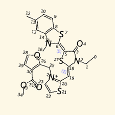 CCn1c(=O)/c(=C2\Sc3ccc(C)cc3N2C)s/c1=C\c1scc[n+]1Cc1occc1C(=O)OC